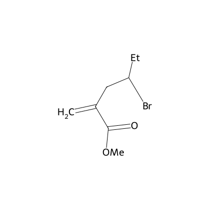 C=C(CC(Br)CC)C(=O)OC